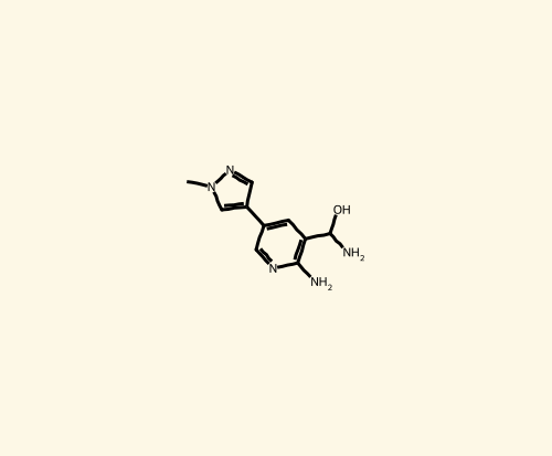 Cn1cc(-c2cnc(N)c(C(N)O)c2)cn1